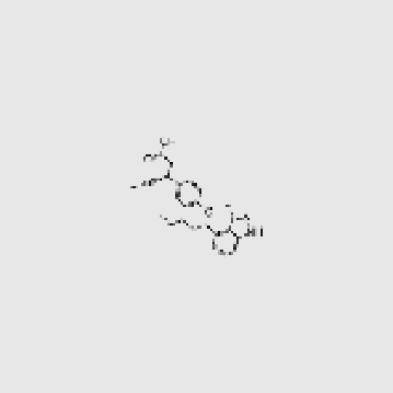 CC#CC(CC(=O)O)c1ccc(OC(CCCC)c2cccc3[nH]nc(F)c23)cc1